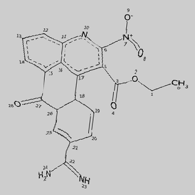 CCOC(=O)c1c([N+](=O)[O-])nc2cccc3c2c1C1C=CC(C(=N)N)=CC1C3=O